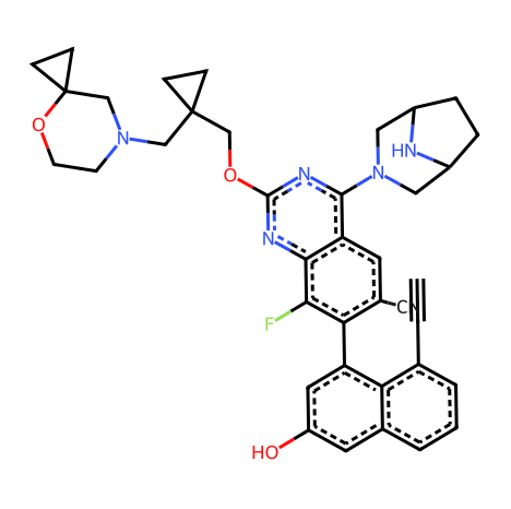 C#Cc1cccc2cc(O)cc(-c3c(C#N)cc4c(N5CC6CCC(C5)N6)nc(OCC5(CN6CCOC7(CC7)C6)CC5)nc4c3F)c12